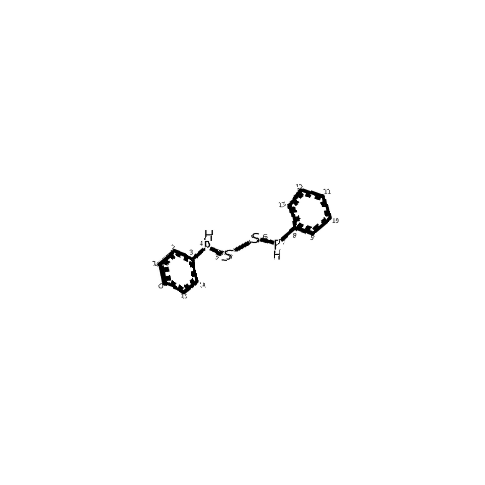 c1ccc(PSSPc2ccccc2)cc1